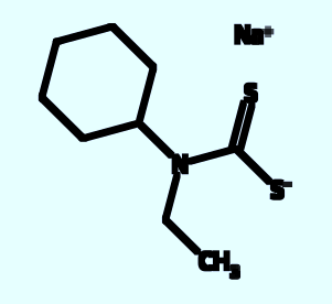 CCN(C(=S)[S-])C1CCCCC1.[Na+]